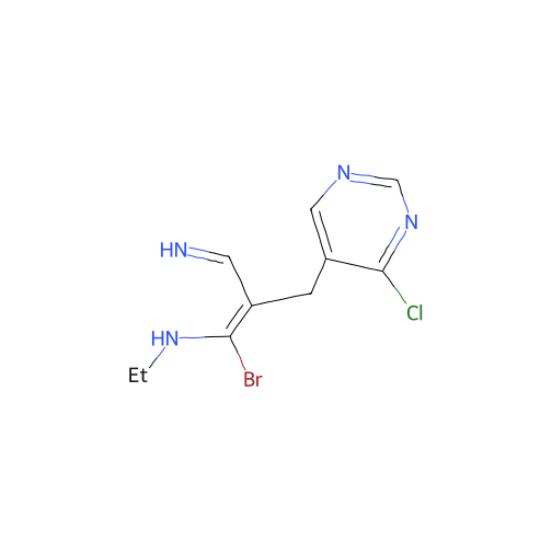 CCN/C(Br)=C(\C=N)Cc1cncnc1Cl